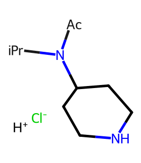 CC(=O)N(C(C)C)C1CCNCC1.[Cl-].[H+]